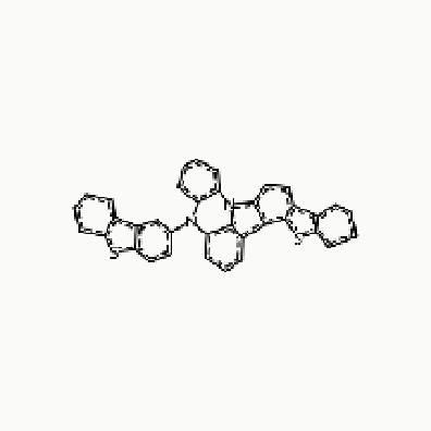 c1ccc2c(c1)N(c1ccc3sc4ccccc4c3c1)c1cccc3c4c5sc6ccccc6c5ccc4n-2c13